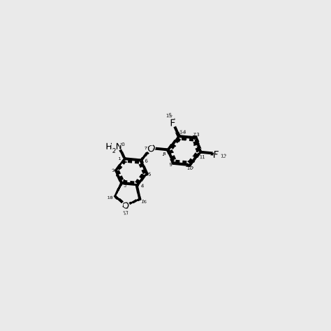 Nc1cc2c(cc1Oc1ccc(F)cc1F)COC2